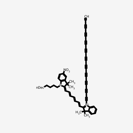 C#CC#CC#CC#CC#CC#CC#CC#CC#CC#CC#C[N+]1=C(/C=C/C=C/C=C/C=C2/N(CCCCCCCCCCCCCC)c3ccc([N+](=O)[O-])cc3C2(C)C)C(C)(C)c2ccccc21